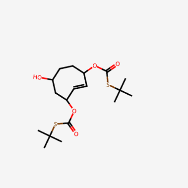 CC(C)(C)SC(=O)OC1/C=C/C(OC(=O)SC(C)(C)C)CC(O)CC1